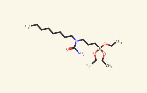 CCCCCCCCN(CCC[Si](OCC)(OCC)OCC)C(N)=O